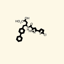 O=C(NC(Cc1ccc(-c2ccccc2)cc1)CC(O)C(=O)O)c1cc(-c2ccc(Cl)s2)n[nH]1